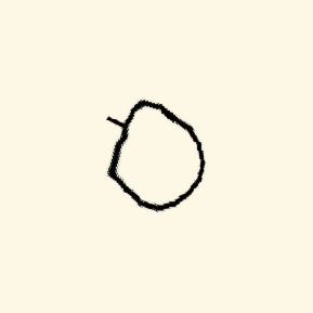 CC1CCC=CCCCCCCCCCCC1